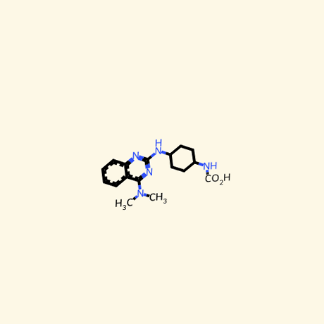 CN(C)c1nc(NC2CCC(NC(=O)O)CC2)nc2ccccc12